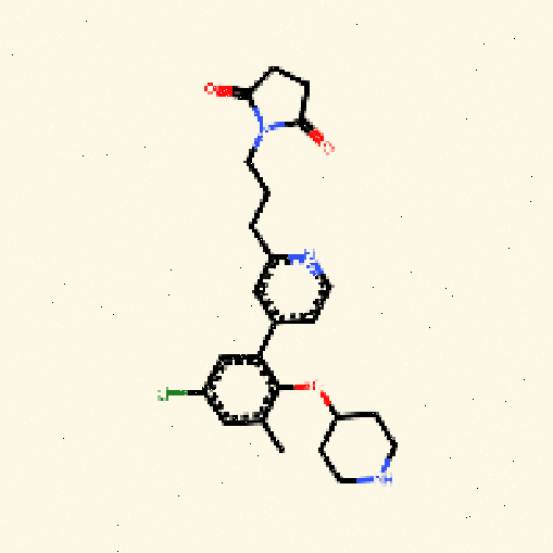 Cc1cc(Cl)cc(-c2ccnc(CCCN3C(=O)CCC3=O)c2)c1OC1CCNCC1